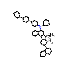 CC1(C)c2cc(-c3cccc4ccccc34)ccc2-c2c1cc(N(c1ccccc1)c1ccc(-c3ccc(-c4ccccc4)cc3)cc1)c1ccccc21